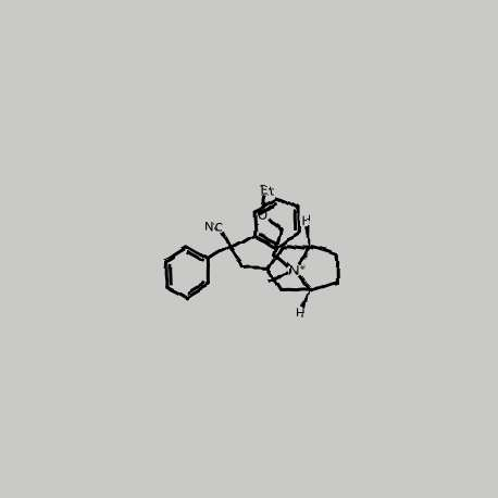 CCOCC[N+]1(C)[C@@H]2CC[C@H]1CC(CC(C#N)(c1ccccc1)c1ccccc1)C2